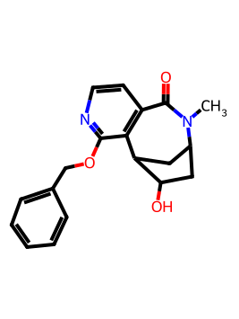 CN1C(=O)c2ccnc(OCc3ccccc3)c2C2CC1CC2O